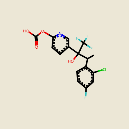 CC(c1ccc(F)cc1Cl)C(O)(c1ccc(OC(=O)O)nc1)C(F)(F)F